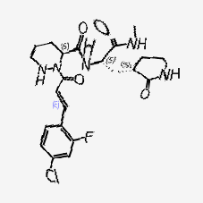 CNC(=O)[C@H](C[C@@H]1CCNC1=O)NC(=O)[C@@H]1CCCNN1C(=O)/C=C/c1ccc(Cl)cc1F